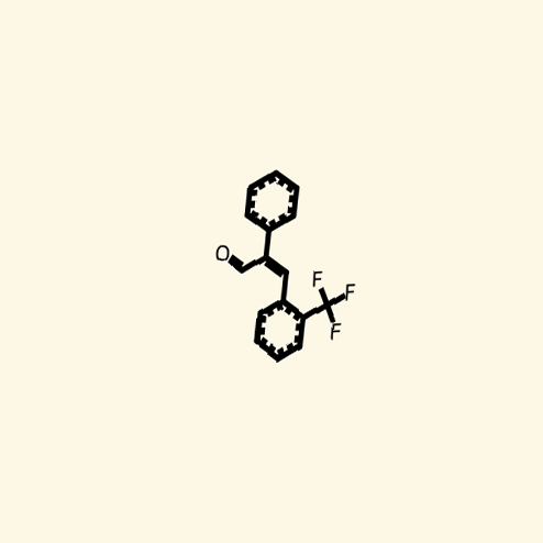 O=C/C(=C\c1ccccc1C(F)(F)F)c1ccccc1